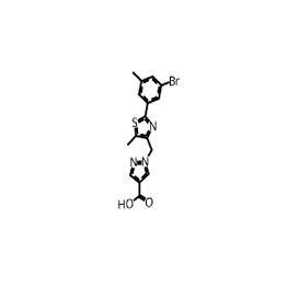 Cc1cc(Br)cc(-c2nc(Cn3cc(C(=O)O)cn3)c(C)s2)c1